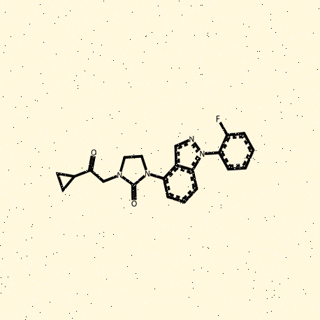 O=C(CN1CCN(c2cccc3c2cnn3-c2ccccc2F)C1=O)C1CC1